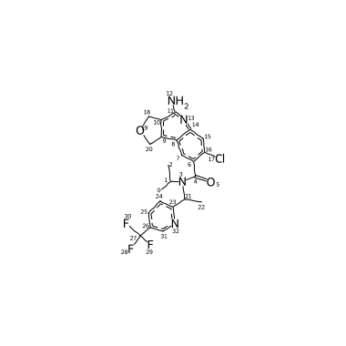 CC(C)N(C(=O)c1cc2c3c(c(N)nc2cc1Cl)COC3)C(C)c1ccc(C(F)(F)F)cn1